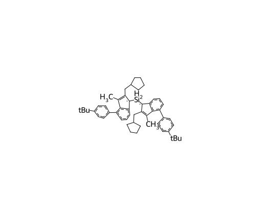 CC1=C(CC2CCCC2)[C]([SiH2][C]2C(CC3CCCC3)=C(C)c3c2cccc3-c2ccc(C(C)(C)C)cc2)c2cccc(-c3ccc(C(C)(C)C)cc3)c21